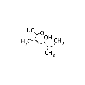 CCC(C)C(O)C=C(C)C(C)=O